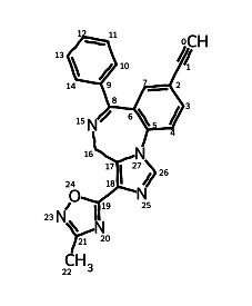 C#Cc1ccc2c(c1)C(c1ccccc1)=NCc1c(-c3nc(C)no3)ncn1-2